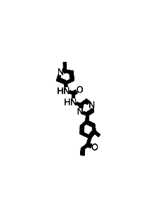 C=CC(=O)c1ccc(-c2cncc(NC(=O)Nc3ccc(C)nc3)n2)cc1C